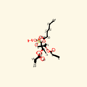 [CH2]C(C(C)OC(=O)C=C)(C(C)OC(=O)C=C)C(OC(=O)CCCCC)S(=O)(=O)O